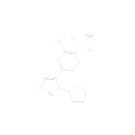 Cc1onc(C2CCCC2)c1-c1ccc(S(N)(=O)=O)c(F)c1